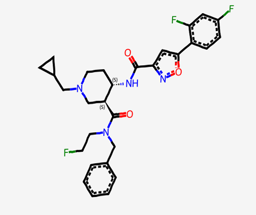 O=C(N[C@H]1CCN(CC2CC2)C[C@@H]1C(=O)N(CCF)Cc1ccccc1)c1cc(-c2ccc(F)cc2F)on1